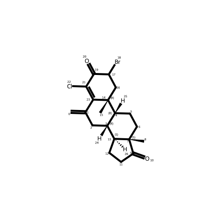 C=C1C[C@@H]2[C@@H](CC[C@]3(C)C(=O)CC[C@@H]23)[C@@]2(C)CC(Br)C(=O)C(Cl)=C12